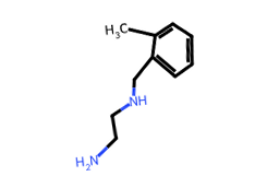 Cc1ccccc1CNCCN